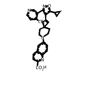 O=C(O)c1ccc2cc(N3CCC4(C=C(c5c(-c6cnccc6C(F)(F)F)noc5C5CC5)C4)CC3)ccc2n1